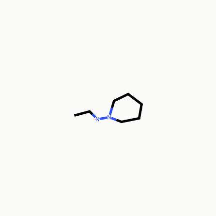 CC[N]N1CCCCC1